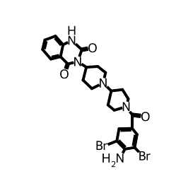 Nc1c(Br)cc(C(=O)N2CCC(N3CCC(n4c(=O)[nH]c5ccccc5c4=O)CC3)CC2)cc1Br